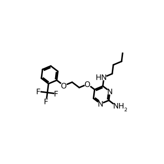 CCCCNc1nc(N)ncc1OCCOc1ccccc1C(F)(F)F